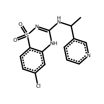 CC(NC1=NS(=O)(=O)c2ccc(Cl)cc2N1)c1cccnc1